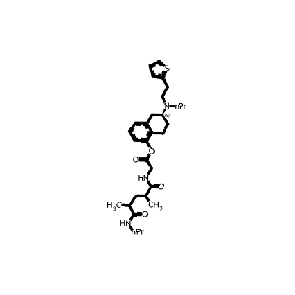 CCCNC(=O)C(C)CC(C)C(=O)NCC(=O)Oc1cccc2c1CC[C@H](N(CCC)CCc1cccs1)C2